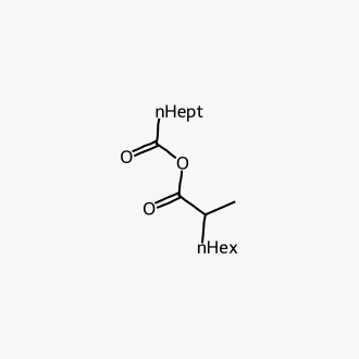 CCCCCCCC(=O)OC(=O)C(C)CCCCCC